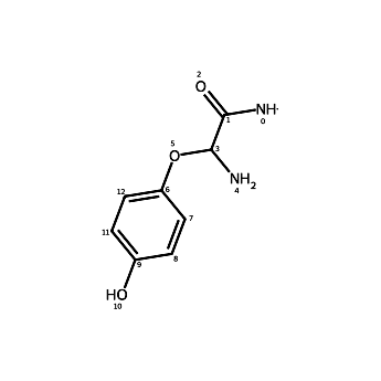 [NH]C(=O)C(N)Oc1ccc(O)cc1